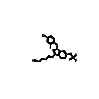 Cc1cc(Cl)ccc1Cn1nc(C=CCCCO)c2ccc(OC(F)(F)F)cc21